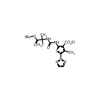 CCOC(=O)c1c(NC(=O)NC(C)(C)C(=O)OC(C)(C)C)sc(-n2nccn2)c1C